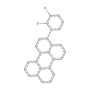 Fc1cccc(-c2ccc3c4cccc5cccc(c6cccc2c63)c54)c1F